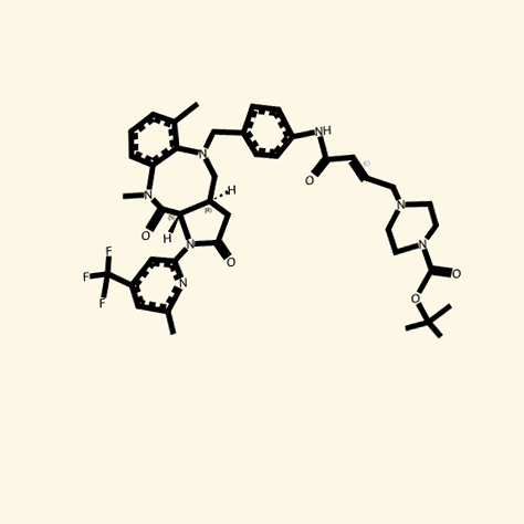 Cc1cc(C(F)(F)F)cc(N2C(=O)C[C@@H]3CN(Cc4ccc(NC(=O)/C=C/CN5CCN(C(=O)OC(C)(C)C)CC5)cc4)c4c(C)cccc4N(C)C(=O)[C@H]32)n1